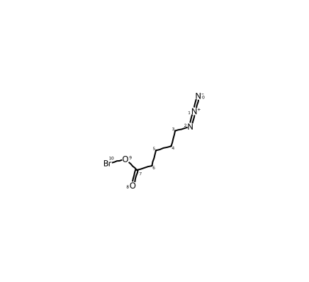 [N-]=[N+]=NCCCCC(=O)OBr